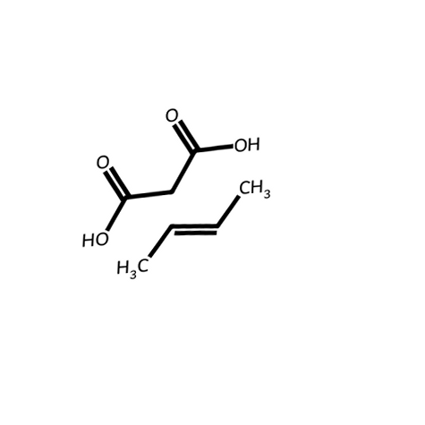 CC=CC.O=C(O)CC(=O)O